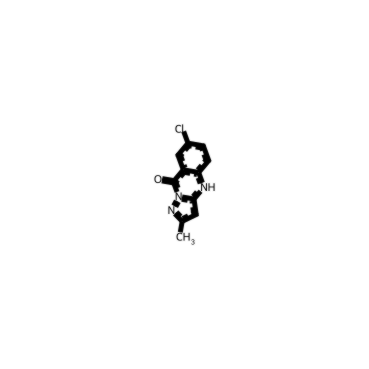 Cc1cc2[nH]c3ccc(Cl)cc3c(=O)n2n1